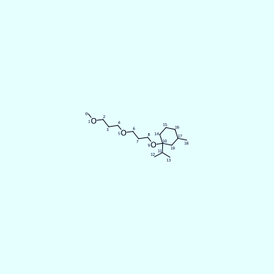 COCCCOCCCOC1(C(C)C)CCCC(C)C1